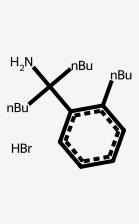 Br.CCCCc1ccccc1C(N)(CCCC)CCCC